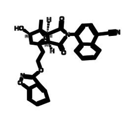 CC12OC(CCOc3noc4ccccc34)(C[C@H]1O)[C@@H]1C(=O)N(c3ccc(C#N)c4ccccc34)C(=O)[C@@H]12